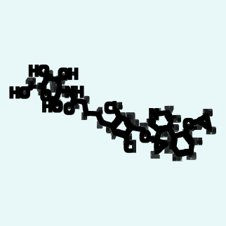 O=C(CCCCc1cc(Cl)c(COC2(c3cnccc3-c3ccccc3OC3CC3)CC2)cc1Cl)N[C@@H]1[C@@H](O)[C@H](O)[C@@H](CO)O[C@H]1O